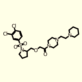 O=C(COCC1CCCN1S(=O)(=O)c1ccc(Cl)c(Cl)c1)N1CCN(CCN2CCCCC2)CC1